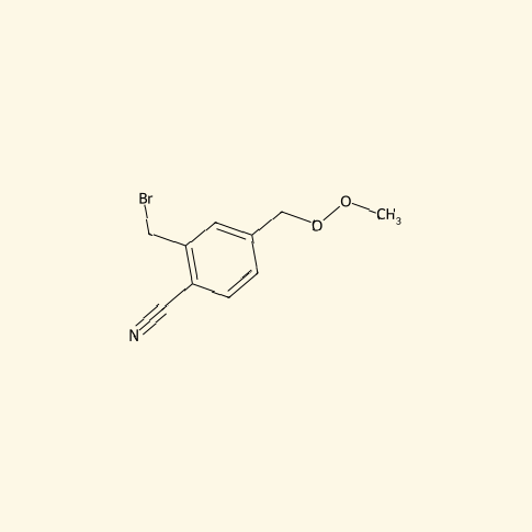 COOCc1ccc(C#N)c(CBr)c1